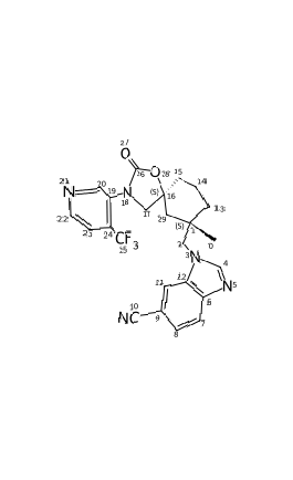 C[C@]1(Cn2cnc3ccc(C#N)cc32)CCC[C@@]2(CN(c3cnccc3C(F)(F)F)C(=O)O2)C1